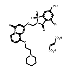 COc1cc(C(C)C)c2c(c1)S(=O)(=O)N(COc1cc(=O)n3cccc(OCCN4CCCCC4)c3n1)C2=O.O=C(O)C=CC(=O)O